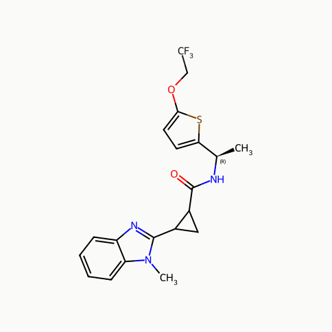 C[C@@H](NC(=O)C1CC1c1nc2ccccc2n1C)c1ccc(OCC(F)(F)F)s1